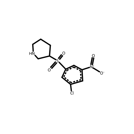 O=[N+]([O-])c1cc(Cl)cc(S(=O)(=O)C2CCCNC2)c1